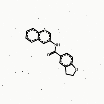 O=C(Nc1cnc2ccccc2c1)c1ccc2c(c1)CCO2